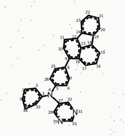 c1ccc(N(c2ccc(-c3ccc4c5c(cccc35)-c3ccccc3-4)cc2)c2cncnc2)cc1